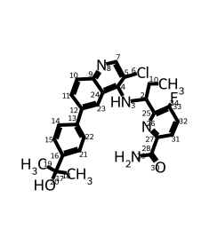 CCC(Nc1c(Cl)cnc2ccc(-c3ccc(C(C)(C)O)cc3)cc12)c1nc(C(N)=O)ccc1F